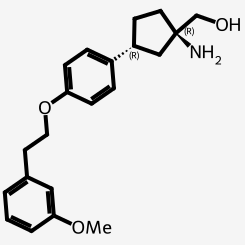 COc1cccc(CCOc2ccc([C@@H]3CC[C@](N)(CO)C3)cc2)c1